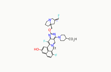 CCc1c(F)ccc2cc(O)cc(-c3ncc4c(N5CCC(C(=O)O)CC5)nc(OC[C@@]56CCCN5C/C(=C\F)C6)nc4c3F)c12